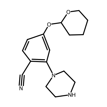 N#Cc1ccc(OC2CCCCO2)cc1N1CCNCC1